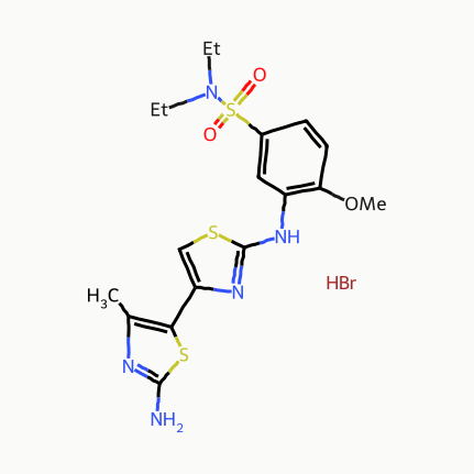 Br.CCN(CC)S(=O)(=O)c1ccc(OC)c(Nc2nc(-c3sc(N)nc3C)cs2)c1